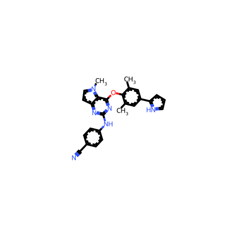 Cc1cc(-c2ccc[nH]2)cc(C)c1Oc1nc(Nc2ccc(C#N)cc2)nc2ccn(C)c12